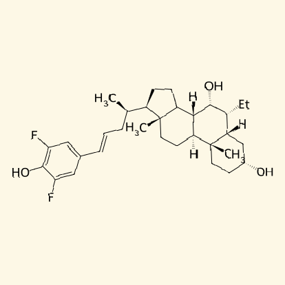 CC[C@H]1[C@@H](O)[C@H]2C3CC[C@H]([C@H](C)C/C=C/c4cc(F)c(O)c(F)c4)[C@@]3(C)CC[C@@H]2[C@@]2(C)CC[C@@H](O)C[C@@H]12